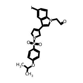 CC(C)Oc1ccc(S(=O)(=O)N2CC=C(c3cn(CC=O)c4ccc(I)cc34)C2)cc1